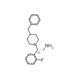 NC[C@H](c1ccccc1F)N1CCC(Cc2ccccc2)CC1